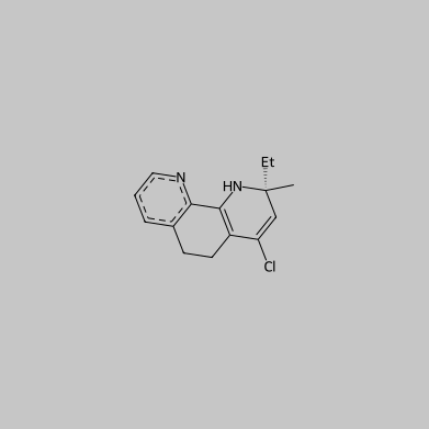 CC[C@]1(C)C=C(Cl)C2=C(N1)c1ncccc1CC2